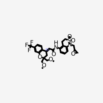 COCC1(COC)C/C(=C\C(=O)Nc2cccc3c2CCS(=O)(=O)N3CC2CO2)c2ccc(C(F)(F)F)cc2O1